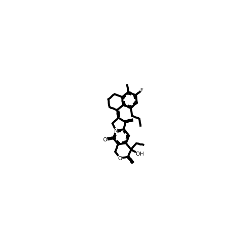 C=C1/C(=C2/CCCc3c(C)c(F)cc(CCC)c32)Cn2c1cc1c(c2=O)COC(=C)C1(O)CC